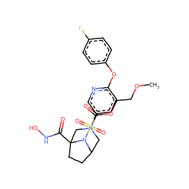 COCCOC(=O)N1CC2CCC(C(=O)NO)(C1)N2S(=O)(=O)c1ccc(Oc2ccc(F)cc2)nc1